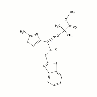 CC(C)(C)OC(=O)C(C)(C)O/N=C(\C(=O)Sc1nc2ccccc2s1)c1csc(N)n1